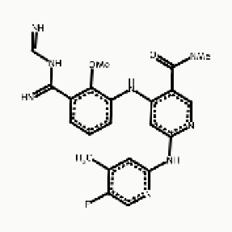 CNC(=O)c1cnc(Nc2cc(C)c(F)cn2)cc1Nc1cccc(C(=N)NC=N)c1OC